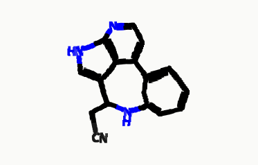 N#CCC1Nc2ccccc2-c2ccnc3[nH]cc1c23